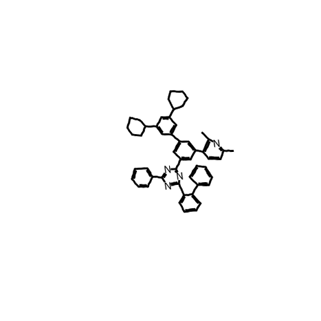 Cc1ccc(-c2cc(-c3cc(C4CCCCC4)cc(C4CCCCC4)c3)cc(-c3nc(-c4ccccc4)nc(-c4ccccc4-c4ccccc4)n3)c2)c(C)n1